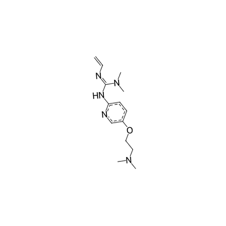 C=C/N=C(/Nc1ccc(OCCN(C)C)cn1)N(C)C